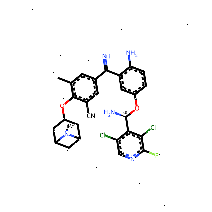 Cc1cc(C(=N)c2cc(O[C@H](N)c3c(Cl)cnc(F)c3Cl)ccc2N)cc(C#N)c1OC1CC2CC(C1)N2C(C)C